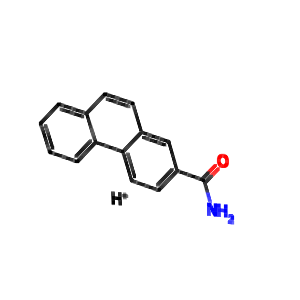 NC(=O)c1ccc2c(ccc3ccccc32)c1.[H+]